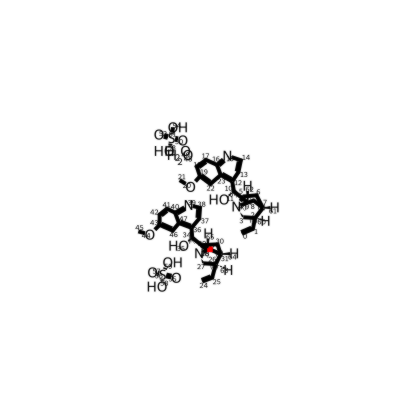 C=C[C@H]1C[N@]2CC[C@H]1C[C@H]2[C@H](O)c1ccnc2ccc(OC)cc12.C=C[C@H]1C[N@]2CC[C@H]1C[C@H]2[C@H](O)c1ccnc2ccc(OC)cc12.O.O.O=S(=O)(O)O.O=S(=O)(O)O